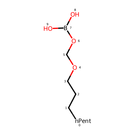 CCCCCCCCOCOB(O)O